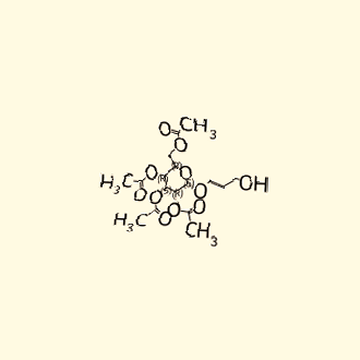 CC(=O)OC[C@H]1O[C@H](OCCCO)[C@H](OC(C)=O)[C@@H](OC(C)=O)[C@@H]1OC(C)=O